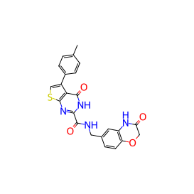 Cc1ccc(-c2csc3nc(C(=O)NCc4ccc5c(c4)NC(=O)CO5)[nH]c(=O)c23)cc1